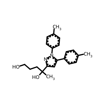 Cc1ccc(-c2cc(C(C)(O)CCCO)nn2-c2ccc(C)cc2)cc1